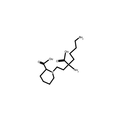 BCCCCC(N)(CCN1CCCCC1C(=O)O)C(=O)O